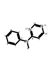 CN(c1ccccc1)c1ccncn1